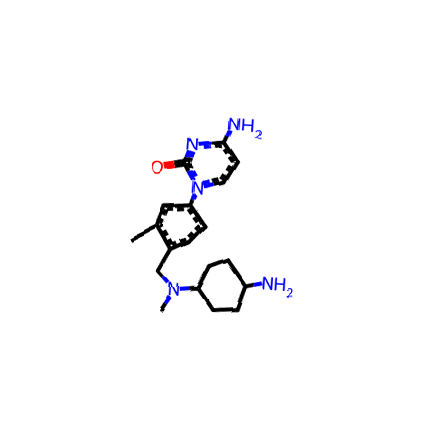 Cc1cc(-n2ccc(N)nc2=O)ccc1CN(C)C1CCC(N)CC1